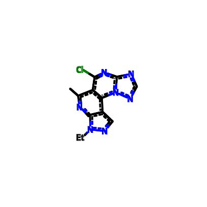 CCn1ncc2c1nc(C)c1c(Cl)nc3ncnn3c12